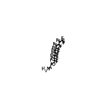 NCCOC(F)(F)C(F)(F)C(F)(F)C(F)(F)C(F)(F)C(F)(F)C(F)C(F)C(F)C(F)F